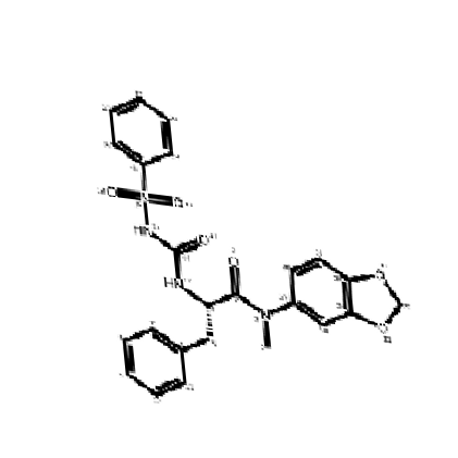 CN(C(=O)[C@H](Cc1ccccc1)NC(=O)NS(=O)(=O)c1ccccc1)c1ccc2c(c1)OCO2